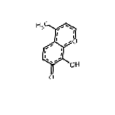 Cc1ccoc2c(O)c(=O)ccc1-2